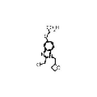 O=C(O)COc1ccc2c(c1)nc(CCl)n2CC1CCO1